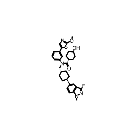 COc1ncc(-c2cccc(N(C[C@H]3CC[C@H](c4ccc5c(c4)c(F)nn5C)CC3)C(=O)[C@H]3CC[C@H](O)CC3)c2)s1